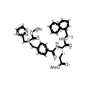 COC(=O)CC[C@H](NC(=O)c1ccc(CN(Cc2ncc[nH]2)C(=O)OC(C)(C)C)cc1)C(=O)N[C@@H](C)c1cccc2ccccc12